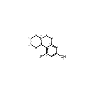 Oc1cc(F)c2c(c1)CCN1CCCCC21